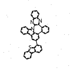 c1ccc2c(c1)-c1nc3ccccc3nc1-n1c3ccccc3c3cc(-c4cccc5c4sc4ccccc45)cc-2c31